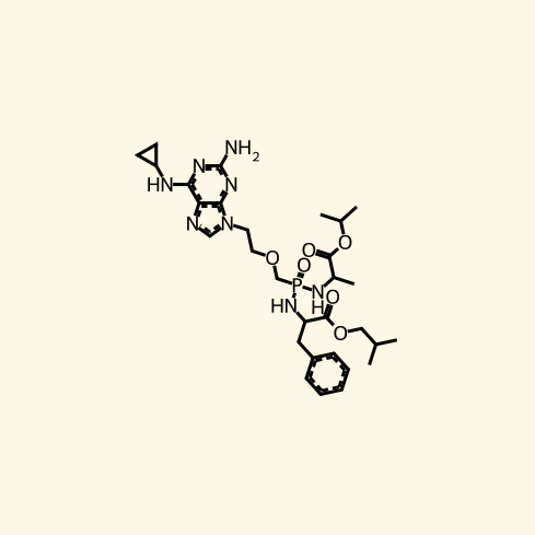 CC(C)COC(=O)C(Cc1ccccc1)NP(=O)(COCCn1cnc2c(NC3CC3)nc(N)nc21)NC(C)C(=O)OC(C)C